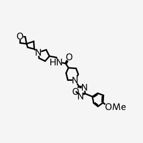 COc1ccc(-c2noc(N3CCC(C(=O)NCC4CCN(C5CC6(COC6)C5)C4)CC3)n2)cc1